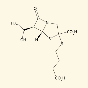 CC(O)[C@H]1C(=O)N2CC(SCCCC(=O)O)(C(=O)O)S[C@H]12